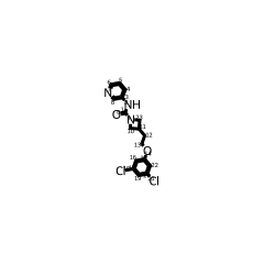 O=C(Nc1cccnc1)N1CC(CCOc2cc(Cl)cc(Cl)c2)C1